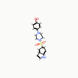 O=S(=O)(c1ccc2[nH]ccc2c1)N1CCN(c2ccc(O)cc2)CC1